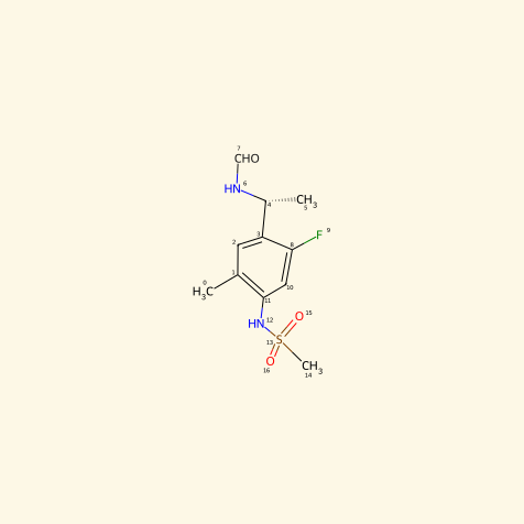 Cc1cc([C@@H](C)NC=O)c(F)cc1NS(C)(=O)=O